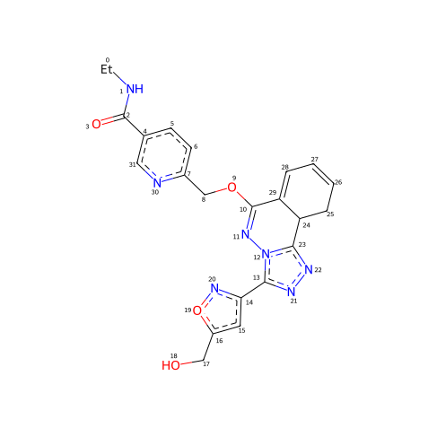 CCNC(=O)c1ccc(COC2=Nn3c(-c4cc(CO)on4)nnc3C3CC=CC=C23)nc1